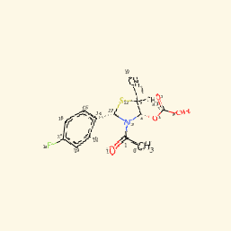 CC(=O)N1[C@@H](OC(=O)O)C(C)(C)S[C@H]1c1ccc(F)cc1